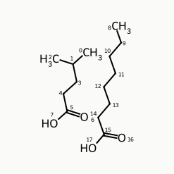 CC(C)CCC(=O)O.CCCCCCCC(=O)O